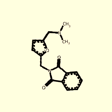 CN(C)Cc1ccc(CN2C(=O)c3ccccc3C2=O)o1